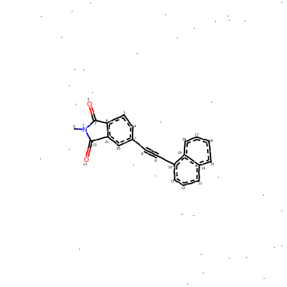 CN1C(=O)c2ccc(C#Cc3cccc4ccccc34)cc2C1=O